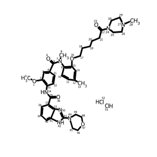 COc1cc(C(=O)N(C)c2ccc(C)cc2OCCCCCC(=O)N2CCN(C)CC2)ccc1NC(=O)c1cccc2[nH]c(N3CCOCC3)nc12.Cl.Cl